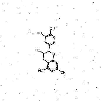 Oc1cc(O)c2c(c1)O[C@H](c1ccc(O)c(O)c1)C(O)C2